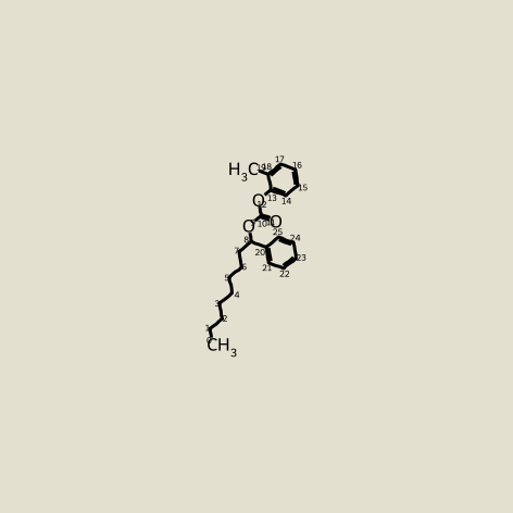 CCCCCCCCC(OC(=O)Oc1ccccc1C)c1ccccc1